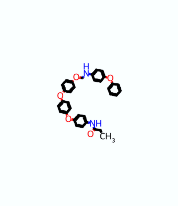 CCC(=O)Nc1ccc(Oc2ccc(Oc3ccc(OCNc4ccc(Oc5ccccc5)cc4)cc3)cc2)cc1